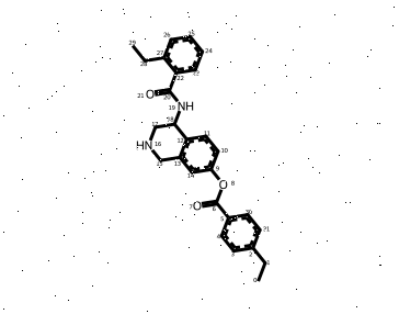 CCc1ccc(C(=O)Oc2ccc3c(c2)CNCC3NC(=O)c2ccccc2CC)cc1